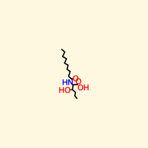 CCCCCCCCCC(=O)NC(C(=O)O)C(O)CCC